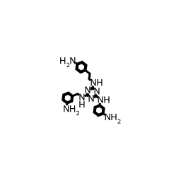 Nc1ccc(CCNc2nc(NCc3cccc(N)c3)nc(Nc3cccc(N)c3)n2)cc1